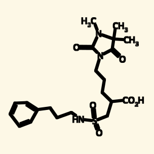 CN1C(=O)N(CCCC(CS(=O)(=O)NCCCc2ccccc2)C(=O)O)C(=O)C1(C)C